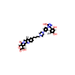 CCc1c2c(nc3ccc(CCCCN4CCN(c5ccc(-n6c(O)nnc6-c6cc(C(C)C)c(O)cc6O)cc5)CC4)cc13)-c1cc3c(c(=O)n1C2)COC(=O)C3(O)CC